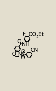 CCOC(=O)c1ccc(NC(=O)c2ccc3c(c2)N(S(=O)(=O)c2cccc(C#N)c2)CCO3)cc1F